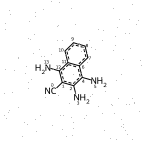 N#Cc1c(N)c(N)c2ccccc2c1N